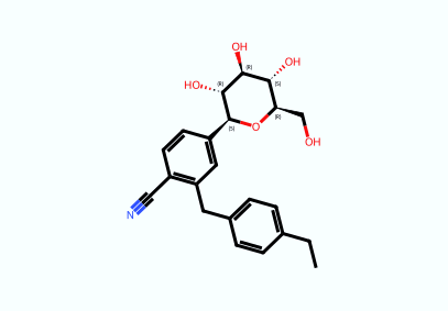 CCc1ccc(Cc2cc([C@@H]3O[C@H](CO)[C@@H](O)[C@H](O)[C@H]3O)ccc2C#N)cc1